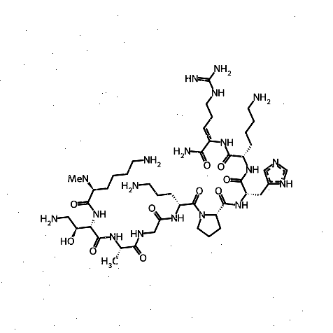 CN[C@@H](CCCCN)C(=O)N[C@H](C(=O)N[C@@H](C)C(=O)NCC(=O)N[C@H](CCCN)C(=O)N1CCC[C@H]1C(=O)N[C@@H](Cc1cnc[nH]1)C(=O)N[C@@H](CCCCN)C(=O)N/C(=C\CCNC(=N)N)C(N)=O)[C@@H](O)CN